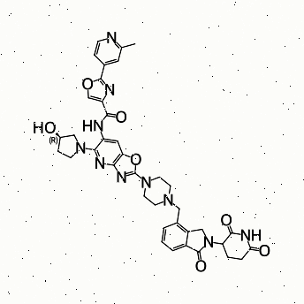 Cc1cc(-c2nc(C(=O)Nc3cc4oc(N5CCN(Cc6cccc7c6CN(C6CCC(=O)NC6=O)C7=O)CC5)nc4nc3N3CC[C@@H](O)C3)co2)ccn1